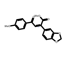 COC(=O)/C(=C\C(=O)c1ccc(OC)cc1)c1ccc2c(c1)OCO2